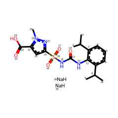 CC(C)c1cccc(C(C)C)c1NC(=O)NS(=O)(=O)c1cc(C(=O)O)n(C)n1.[NaH].[NaH]